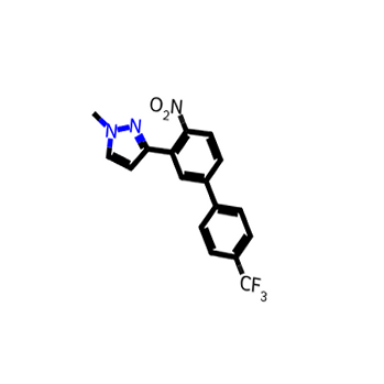 Cn1ccc(-c2cc(-c3ccc(C(F)(F)F)cc3)ccc2[N+](=O)[O-])n1